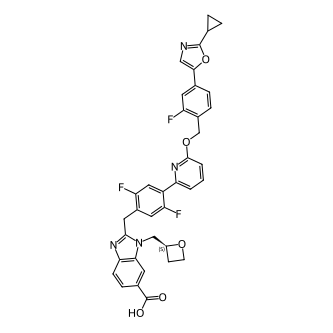 O=C(O)c1ccc2nc(Cc3cc(F)c(-c4cccc(OCc5ccc(-c6cnc(C7CC7)o6)cc5F)n4)cc3F)n(C[C@@H]3CCO3)c2c1